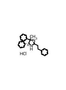 C[C@@]1(c2ccccc2)N=C(CCc2ccccc2)N[C@@H]1c1ccccc1.Cl